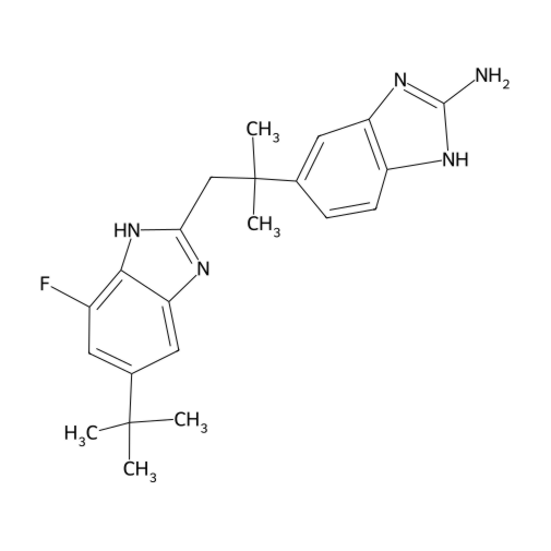 CC(C)(C)c1cc(F)c2[nH]c(CC(C)(C)c3ccc4[nH]c(N)nc4c3)nc2c1